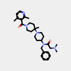 Cc1ccnc(C)c1C(=O)N1CCC(C)(N2CCC(N(Cc3ccccc3)C(=O)CN(C)C)CC2)CC1